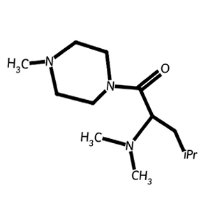 CC(C)CC(C(=O)N1CCN(C)CC1)N(C)C